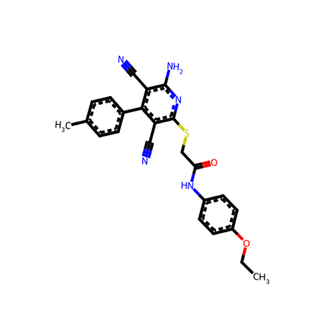 CCOc1ccc(NC(=O)CSc2nc(N)c(C#N)c(-c3ccc(C)cc3)c2C#N)cc1